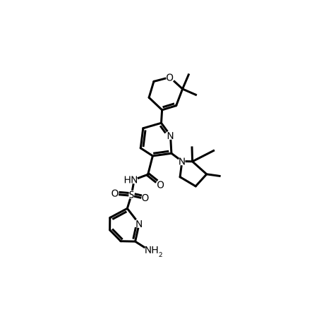 CC1CCN(c2nc(C3=CC(C)(C)OCC3)ccc2C(=O)NS(=O)(=O)c2cccc(N)n2)C1(C)C